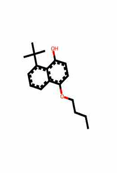 CCCCOc1ccc(O)c2c(C(C)(C)C)cccc12